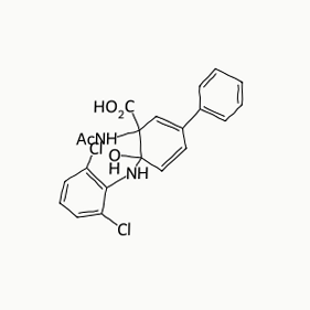 CC(=O)NC1(C(=O)O)C=C(c2ccccc2)C=CC1(O)Nc1c(Cl)cccc1Cl